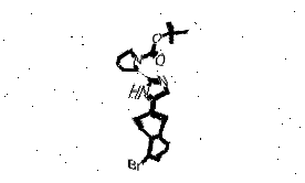 CC(C)(C)OC(=O)N1CCC[C@H]1c1ncc(-c2ccc3c(Br)cccc3c2)[nH]1